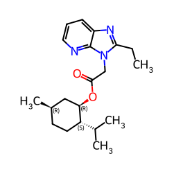 CCc1nc2cccnc2n1CC(=O)O[C@@H]1C[C@H](C)CC[C@H]1C(C)C